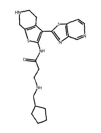 O=C(CCNCC1CCCC1)Nc1sc2c(c1-c1nc3cnccc3s1)CCNC2